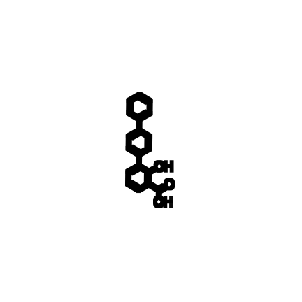 O=C(O)c1cccc(-c2ccc(-c3ccccc3)cc2)c1O